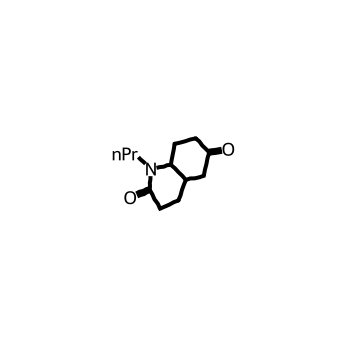 CCCN1C(=O)CCC2CC(=O)CCC21